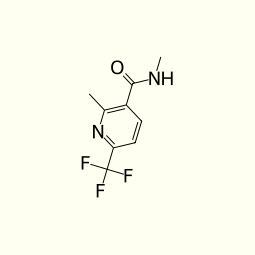 CNC(=O)c1ccc(C(F)(F)F)nc1C